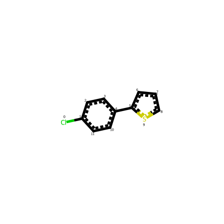 Clc1ccc(-c2c[c]cs2)cc1